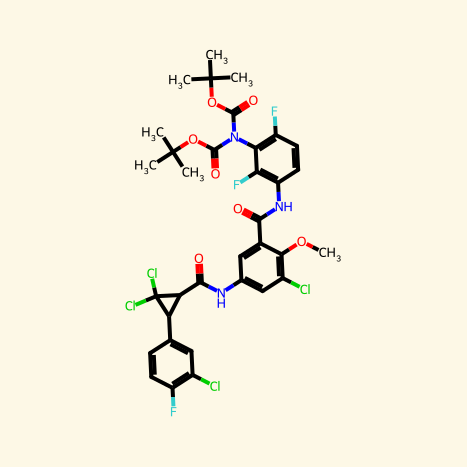 COc1c(Cl)cc(NC(=O)C2C(c3ccc(F)c(Cl)c3)C2(Cl)Cl)cc1C(=O)Nc1ccc(F)c(N(C(=O)OC(C)(C)C)C(=O)OC(C)(C)C)c1F